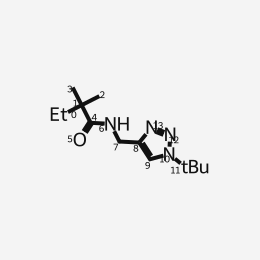 CCC(C)(C)C(=O)NCc1cn(C(C)(C)C)nn1